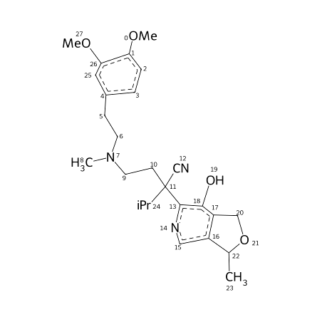 COc1ccc(CCN(C)CCC(C#N)(c2ncc3c(c2O)COC3C)C(C)C)cc1OC